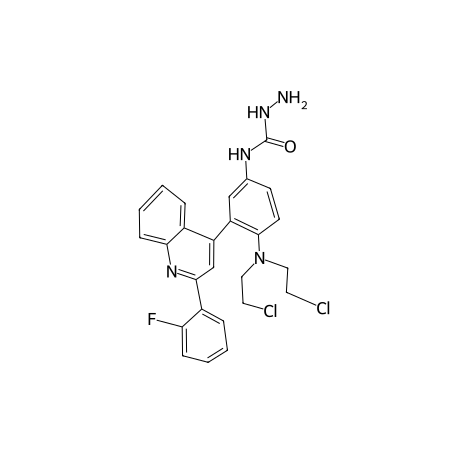 NNC(=O)Nc1ccc(N(CCCl)CCCl)c(-c2cc(-c3ccccc3F)nc3ccccc23)c1